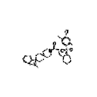 Cc1cc(S(=O)(=O)N2CCCCC2CCC(=O)N2CCC3(CC2)CCC(c2ccccc2)(N(C)C)CC3)c(C)cc1Cl